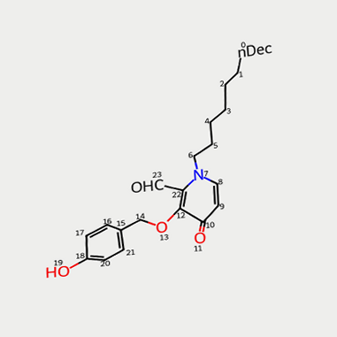 CCCCCCCCCCCCCCCCn1ccc(=O)c(OCc2ccc(O)cc2)c1C=O